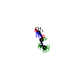 COc1ccc(CNC(=O)c2ccc(/C=C/C(c3cc(Cl)c(Cl)c(Cl)c3)C(F)(F)F)cc2Br)cn1